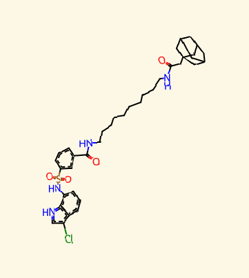 O=C(CC12CC3CC(CC(C3)C1)C2)NCCCCCCCCCCNC(=O)c1cccc(S(=O)(=O)Nc2cccc3c(Cl)c[nH]c23)c1